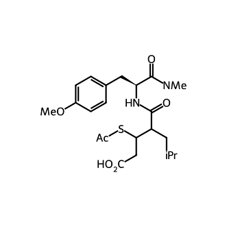 CNC(=O)[C@H](Cc1ccc(OC)cc1)NC(=O)C(CC(C)C)C(CC(=O)O)SC(C)=O